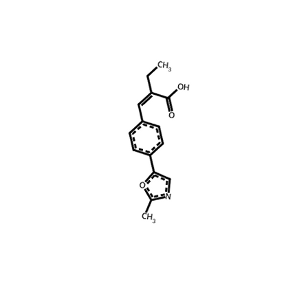 CCC(=Cc1ccc(-c2cnc(C)o2)cc1)C(=O)O